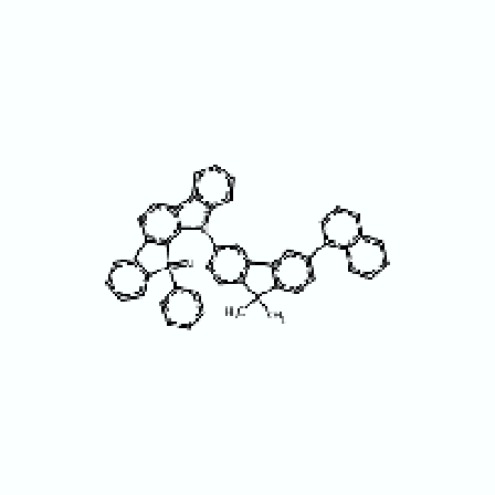 CC1(C)c2ccc(-c3cccc4ccccc34)cc2-c2cc(-n3c4ccccc4c4ccc5c(c43)P(=O)(c3ccccc3)c3ccccc3-5)ccc21